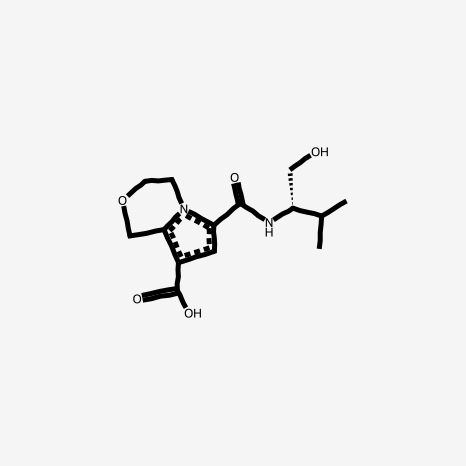 CC(C)[C@@H](CO)NC(=O)c1cc(C(=O)O)c2n1CCOC2